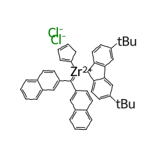 CC(C)(C)c1ccc2c(c1)-c1cc(C(C)(C)C)ccc1[CH]2[Zr+2]([C]1=CC=CC1)=[C](c1ccc2ccccc2c1)c1ccc2ccccc2c1.[Cl-].[Cl-]